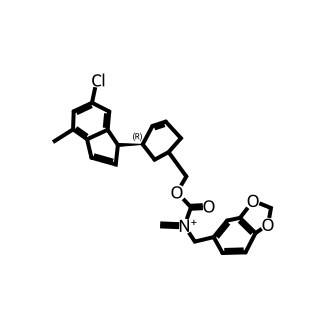 C=[N+](Cc1ccc2c(c1)OCO2)C(=O)OCC1CC=C[C@H](C2C=Cc3c(C)cc(Cl)cc32)C1